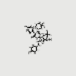 Cc1cc(N2CCC(C)(C)CC2)c(C2=C(F)CC(OCCc3ccc(F)cc3)(C(OC(C)(C)C)C(=O)O)C=N2)cn1